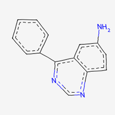 Nc1ccc2ncnc(-c3ccccc3)c2c1